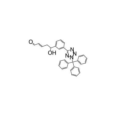 O=CC=CCC(O)c1cccc(-c2nnn(C(c3ccccc3)(c3ccccc3)c3ccccc3)n2)c1